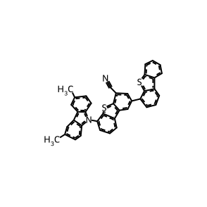 Cc1ccc2c(c1)c1cc(C)ccc1n2-c1cccc2c1sc1c(C#N)cc(-c3cccc4c3sc3ccccc34)cc12